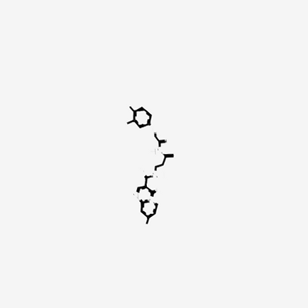 C=C(CCNC(=O)c1cnc2cc(C)ccn2c1=O)NC(=O)COc1ccc(C)c(C)c1